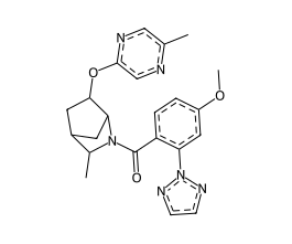 COc1ccc(C(=O)N2C(C)C3CC(Oc4cnc(C)cn4)C2C3)c(-n2nccn2)c1